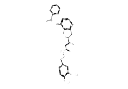 COc1ccc(CCNC(=O)/C=C(\C)C2Cc3cccc(OC(C)c4ccccc4)c3O2)cc1OC